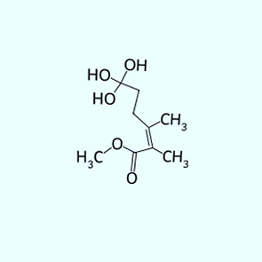 COC(=O)C(C)=C(C)CCC(O)(O)O